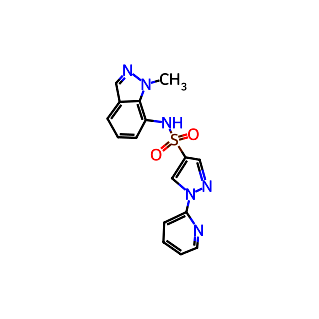 Cn1ncc2cccc(NS(=O)(=O)c3cnn(-c4ccccn4)c3)c21